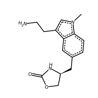 Cn1cc(CCN)c2cc(C[C@H]3COC(=O)N3)ccc21